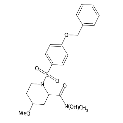 COC1CCN(S(=O)(=O)c2ccc(OCc3ccccc3)cc2)C(C(=O)N(C)O)C1